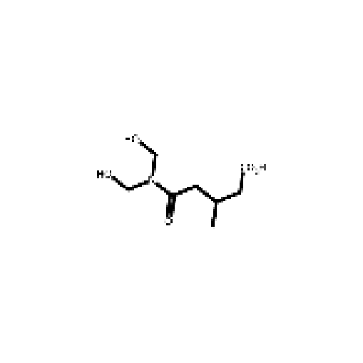 CC(CC(=O)O)CC(=O)N(CO)CO